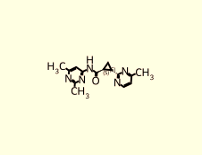 Cc1cc(NC(=O)[C@H]2C[C@@H]2c2nccc(C)n2)nc(C)n1